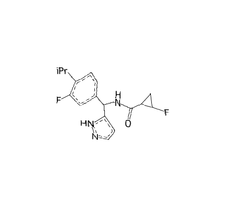 CC(C)c1ccc(C(NC(=O)C2CC2F)c2ccn[nH]2)cc1F